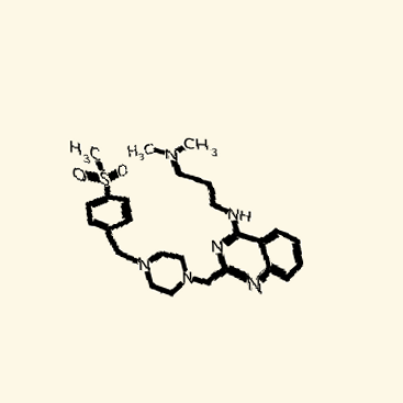 CN(C)CCCNc1nc(CN2CCN(Cc3ccc(S(C)(=O)=O)cc3)CC2)nc2ccccc12